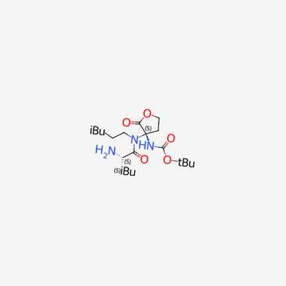 CCC(C)CCN(C(=O)[C@@H](N)[C@@H](C)CC)[C@@]1(NC(=O)OC(C)(C)C)CCOC1=O